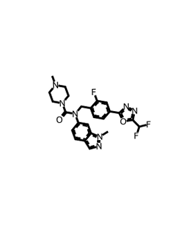 CN1CCN(C(=O)N(Cc2ccc(-c3nnc(C(F)F)o3)cc2F)c2ccc3cnn(C)c3c2)CC1